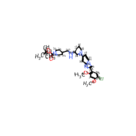 COc1cc(OC)c(-c2cn3ccc(N4CCC[C@H](NCC5CCN(C(=O)OC(C)(C)C)CC5)C4)cc3n2)cc1Cl